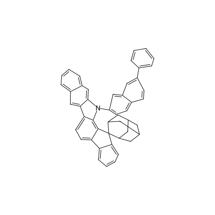 c1ccc(-c2ccc3ccc(-n4c5cc6ccccc6cc5c5ccc6c(c54)C4(c5ccccc5-6)C5CC6CC(C5)CC4C6)cc3c2)cc1